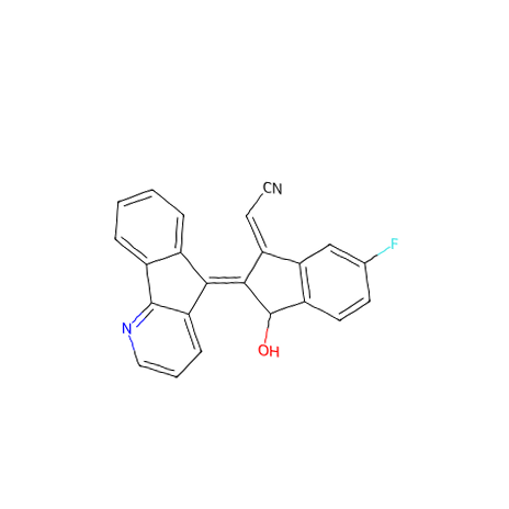 N#C/C=C1/C(=C2\c3ccccc3-c3ncccc32)C(O)c2ccc(F)cc21